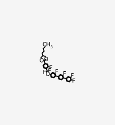 CCCCCC1COC(c2ccc(C(F)(F)Oc3ccc(-c4ccc(-c5ccc(F)c(F)c5)c(F)c4)c(F)c3)c(F)c2)OC1